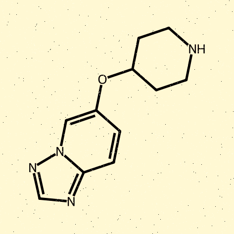 c1nc2ccc(OC3CCNCC3)cn2n1